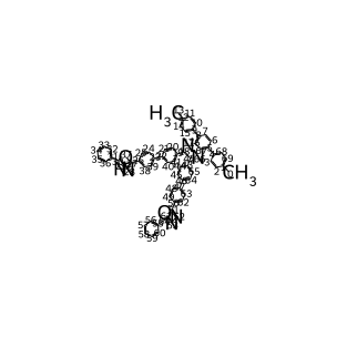 Cc1ccc(-c2ccc(-c3ccc(C)cc3)c3nc(-c4ccc(-c5ccc(-c6nnc(-c7ccccc7)o6)cc5)cc4)c(-c4ccc(-c5ccc(-c6nnc(-c7ccccc7)o6)cc5)cc4)nc23)cc1